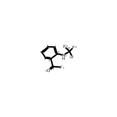 O=C(F)c1ccccc1NC(F)(F)F